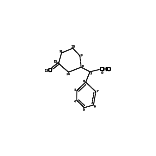 O=CC(c1ccccc1)C1CCCC(=O)C1